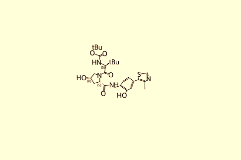 Cc1ncsc1-c1ccc(CNC(=O)[C@@H]2C[C@@H](O)CN2C(=O)[C@@H](NC(=O)OC(C)(C)C)C(C)(C)C)c(O)c1